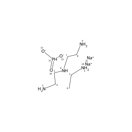 CCN.NCCNCCN.O=[PH]([O-])[O-].[Na+].[Na+]